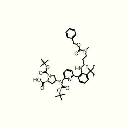 CN(CCCNc1c(-c2cccc(N(C(=O)OC(C)(C)C)[C@H]3C[C@@H](C(=O)O)N(C(=O)OC(C)(C)C)C3)n2)cccc1C(F)(F)F)C(=O)OCc1ccccc1